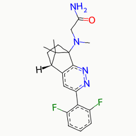 CN(CC(N)=O)C12CC[C@@H](c3cc(-c4c(F)cccc4F)nnc31)C2(C)C